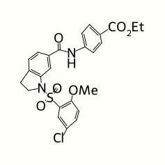 CCOC(=O)c1ccc(NC(=O)c2ccc3c(c2)N(S(=O)(=O)c2cc(Cl)ccc2OC)CC3)cc1